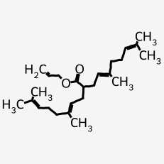 C=CCOC(=O)C(C/C=C(\C)CCC=C(C)C)C/C=C(\C)CCC=C(C)C